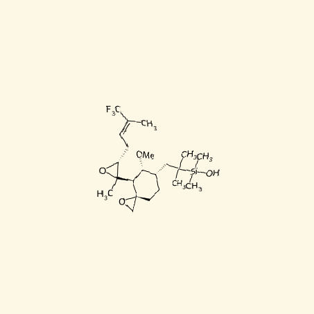 CO[C@@H]1[C@H](CC(C)(C)[Si](C)(C)O)CC[C@]2(CO2)[C@H]1C1(C)O[C@@H]1C/C=C(\C)C(F)(F)F